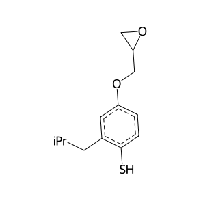 CC(C)Cc1cc(OCC2CO2)ccc1S